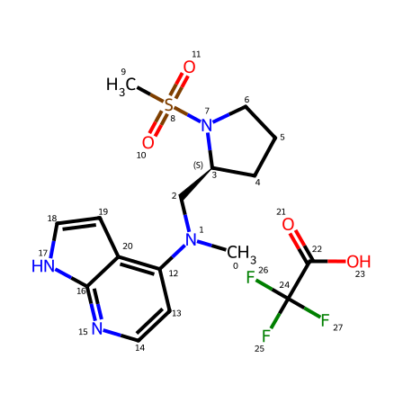 CN(C[C@@H]1CCCN1S(C)(=O)=O)c1ccnc2[nH]ccc12.O=C(O)C(F)(F)F